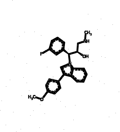 CNC[C@@H](O)[C@H](c1cccc(F)c1)n1cc(-c2ccc(OC)cc2)c2ccccc21